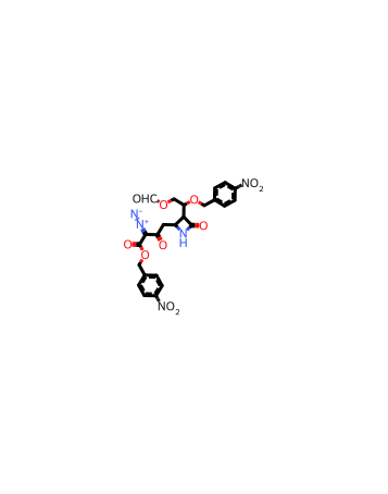 [N-]=[N+]=C(C(=O)CC1NC(=O)C1C(COC=O)OCc1ccc([N+](=O)[O-])cc1)C(=O)OCc1ccc([N+](=O)[O-])cc1